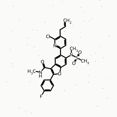 C=CCc1ccc(-c2cc3c(C(=O)NC)c(-c4ccc(F)cc4)oc3cc2N(C)S(C)(=O)=O)nc1Cl